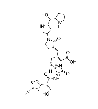 Nc1nc(C(=NO)C(=O)N[C@@H]2C(=O)N3C(C(=O)O)=C(C=C4CCN(C5CNC(C(O)C6CCCN6)C5)C4=O)CS[C@H]23)cs1